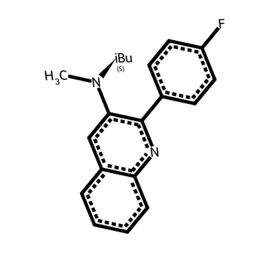 CC[C@H](C)N(C)c1cc2ccccc2nc1-c1ccc(F)cc1